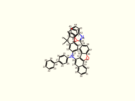 CC1(C)c2ccccc2-c2ccc(N(c3ccc(-c4ccccc4)cc3)c3cc4ccccc4c4oc5ccc(-c6nc7ccccc7o6)cc5c34)cc21